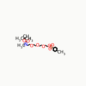 Cc1ccc(S(=O)(=O)OCCOCCOCCOCCN(C)C(=O)OC(C)(C)C)cc1